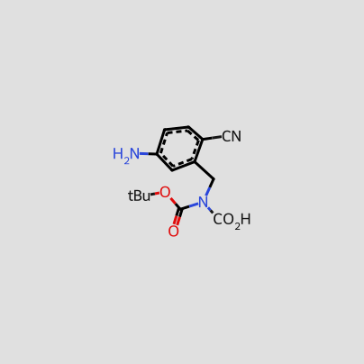 CC(C)(C)OC(=O)N(Cc1cc(N)ccc1C#N)C(=O)O